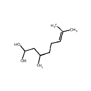 CC(C)=CCCC(C)CC(O)O